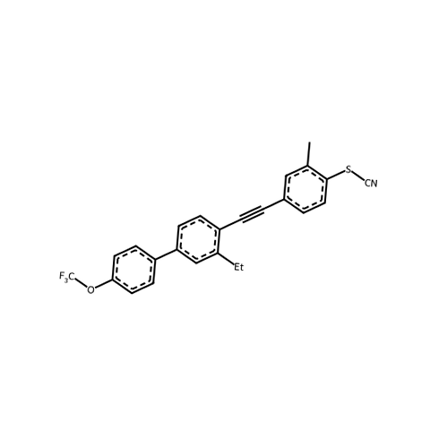 CCc1cc(-c2ccc(OC(F)(F)F)cc2)ccc1C#Cc1ccc(SC#N)c(C)c1